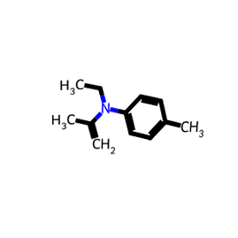 C=C(C)N(CC)c1ccc(C)cc1